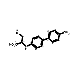 Nc1ccc(-c2ccc(NC(CO)C(=O)O)cc2)cc1